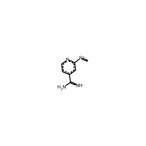 C=[N+]c1cc(C(=N)N)ccn1